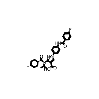 CC(C)N(c1nn(-c2ccc(NC(=O)c3ccc(F)cc3)cc2)cc1C(=O)O)C(=O)[C@H]1CC[C@H](C)CC1